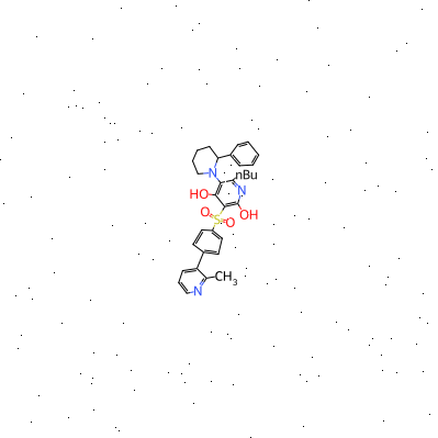 CCCCc1nc(O)c(S(=O)(=O)c2ccc(-c3cccnc3C)cc2)c(O)c1N1CCCCC1c1ccccc1